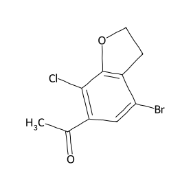 CC(=O)c1cc(Br)c2c(c1Cl)OCC2